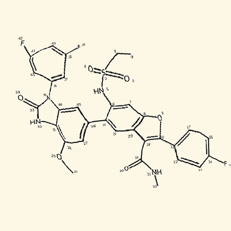 CCS(=O)(=O)Nc1cc2oc(-c3ccc(F)cc3)c(C(=O)NC)c2cc1-c1cc(OC)c2[nH]c(=O)n(-c3cc(F)cc(F)c3)c2c1